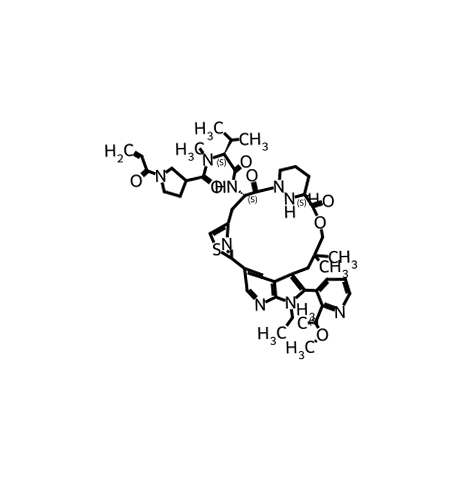 C=CC(=O)N1CCC(C(=O)N(C)[C@H](C(=O)N[C@H]2Cc3csc(n3)-c3cnc4c(c3)c(c(-c3cccnc3[C@H](C)OC)n4CC)CC(C)(C)COC(=O)[C@@H]3CCCN(N3)C2=O)C(C)C)C1